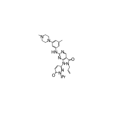 C=CCn1c(=O)c2cnc(Nc3cc(C)cc(N4CCN(C)CC4)c3)nc2n1-c1ccc(=O)n(C(C)C)n1